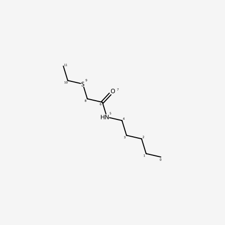 CCCCCNC(=O)CSCC